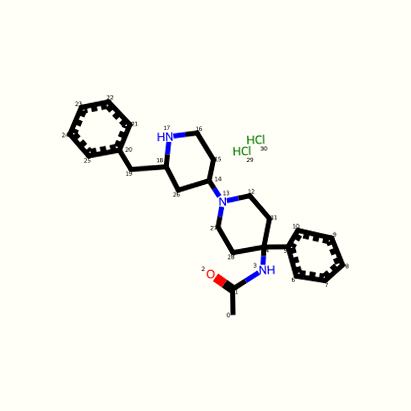 CC(=O)NC1(c2ccccc2)CCN(C2CCNC(Cc3ccccc3)C2)CC1.Cl.Cl